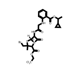 CC(OC(=O)c1ccccc1NCC(=O)NC1C(=O)N2C(C(=O)OCC(Cl)(Cl)Cl)C(C)(CBr)S[C@H]12)C1CC1